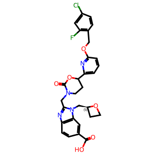 O=C(O)c1ccc2nc(CN3CCC(c4cccc(OCc5ccc(Cl)cc5F)n4)OC3=O)n(C[C@@H]3CCO3)c2c1